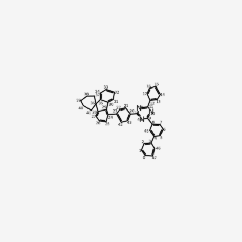 c1ccc(-c2cccc(-c3nc(-c4ccccc4)nc(-c4ccc(-c5cccc6c5-c5ccccc5C65CCCCC5)cc4)n3)c2)cc1